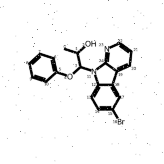 CC(O)C(Oc1ccccc1)n1c2ccc(Br)cc2c2cccnc21